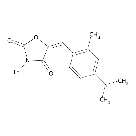 CCN1C(=O)O/C(=C/c2ccc(N(C)C)cc2C)C1=O